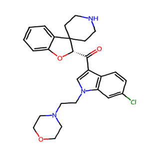 O=C(c1cn(CCN2CCOCC2)c2cc(Cl)ccc12)[C@@H]1Oc2ccccc2C12CCNCC2